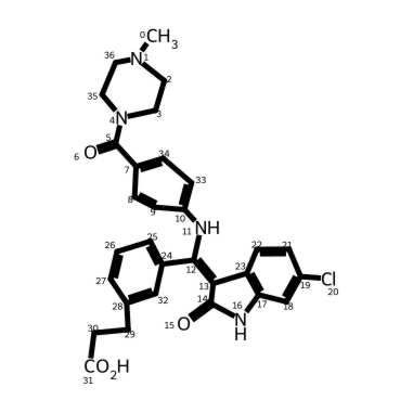 CN1CCN(C(=O)c2ccc(NC(=C3C(=O)Nc4cc(Cl)ccc43)c3cccc(CCC(=O)O)c3)cc2)CC1